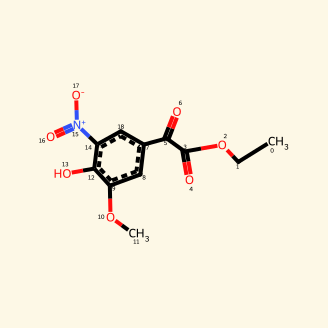 CCOC(=O)C(=O)c1cc(OC)c(O)c([N+](=O)[O-])c1